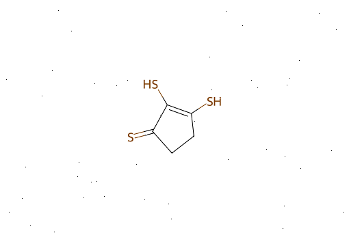 S=C1CCC(S)=C1S